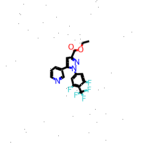 CCOC(=O)c1cc(-c2cccnc2)n(-c2cc(F)c(C(F)(F)F)c(F)c2)n1